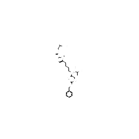 CC(C)COC(=O)[C@H]1SC=C(CCCCNC(=O)[C@H](CC(C)C)NC(=O)OCc2ccccc2)N1C